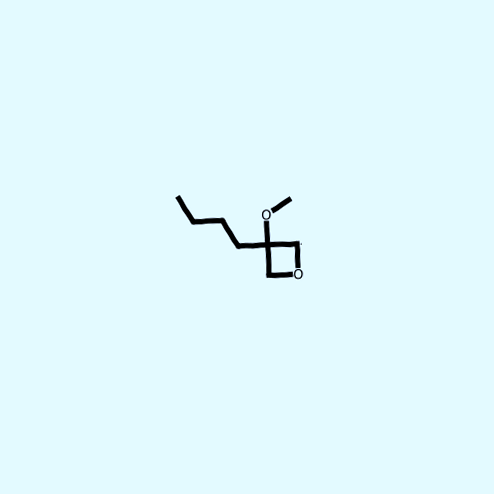 CCCCC1(OC)[CH]OC1